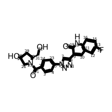 O=C(c1ccc(-n2cc(-c3cc4cc(F)ccc4[nH]c3=O)nn2)cc1)N1C[C@H](O)C[C@H]1CO